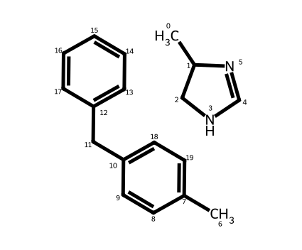 CC1CNC=N1.Cc1ccc(Cc2ccccc2)cc1